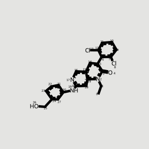 CCn1c(=O)c(-c2c(Cl)cccc2Cl)cc2cnc(Nc3cccc(CO)c3)cc21